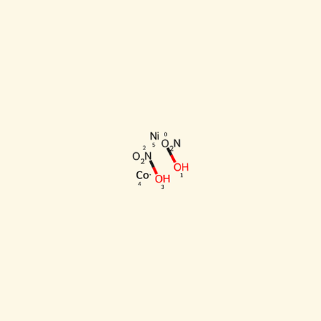 O=[N+]([O-])O.O=[N+]([O-])O.[Co].[Ni]